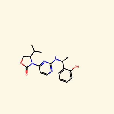 CC(C)C1COC(=O)N1c1ccnc(N[C@@H](C)c2ccccc2O)n1